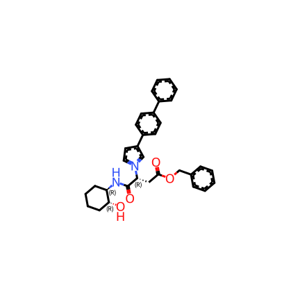 O=C(C[C@H](C(=O)N[C@@H]1CCCC[C@H]1O)n1ccc(-c2ccc(-c3ccccc3)cc2)c1)OCc1ccccc1